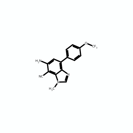 Cn1cnc2c(-c3ccc(OC(F)(F)F)cc3)cc(N)c(C#N)c21